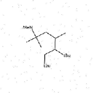 CNC(C)(C)CC(C)C(CC(C)(C)C)C(C)(C)C